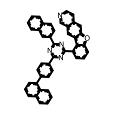 c1ccc2cc(-c3nc(-c4ccc(-c5cccc6ccccc56)cc4)nc(-c4cccc5oc6cc7ccncc7cc6c45)n3)ccc2c1